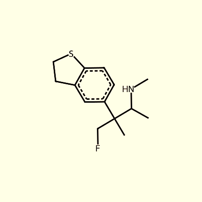 CNC(C)C(C)(CF)c1ccc2c(c1)CCS2